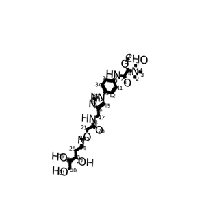 C[N+](C)(C)C(OC=O)C(=O)Nc1ccc(-n2cc(CNC(=O)CON=CC[C@H](O)[C@H](O)CO)nn2)cc1